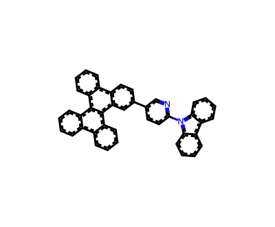 c1ccc2c(c1)c1ccccc1c1c3cc(-c4ccc(-n5c6ccccc6c6ccccc65)nc4)ccc3c3ccccc3c21